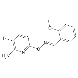 COc1ccccc1C=NOc1ncc(F)c(N)n1